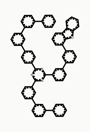 c1ccc(-c2cccc(-c3cccc(-c4ccc(-c5nc(-c6cccc(-c7cccc(-c8ccccc8)c7)c6)nc(-c6cccc(-c7cccc(-c8cccc9c8oc8ccccc89)c7)c6)n5)cc4)c3)c2)cc1